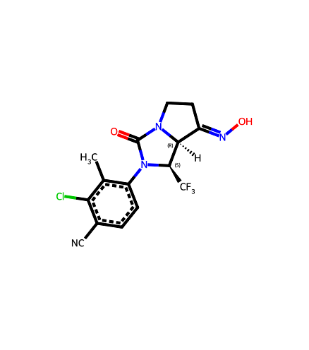 Cc1c(N2C(=O)N3CCC(=NO)[C@H]3[C@H]2C(F)(F)F)ccc(C#N)c1Cl